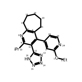 CCOc1cc(-c2c3c(nc(C(C)C)c2-c2nnn[nH]2)CCCCC3)ccn1